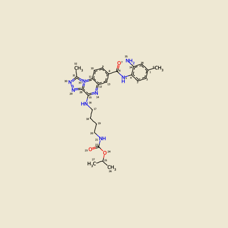 Cc1ccc(NC(=O)c2ccc3c(c2)nc(NCCCCNC(=O)OC(C)C)c2nnc(C)n23)c(N)c1